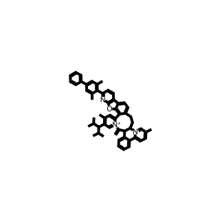 C=C1C2c3ccccc3-c3ccc(C)c[n+]3C2CCc2ccc3c(oc4nc(-c5c(C)cc(-c6ccccc6)cc5C)ccc43)c2-c2cc(C)c(C(C(C)C)C(C)C)c[n+]21